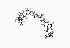 Cn1c(=O)n(C2CCC(=O)NC2=O)c2ccc(CCC(=O)NCCOc3ccc4cc(O)c(N5CC(=O)NS5(=O)=O)c(F)c4c3)cc21